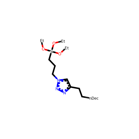 CCCCCCCCCCCCc1cn(CCC[Si](OCC)(OCC)OCC)nn1